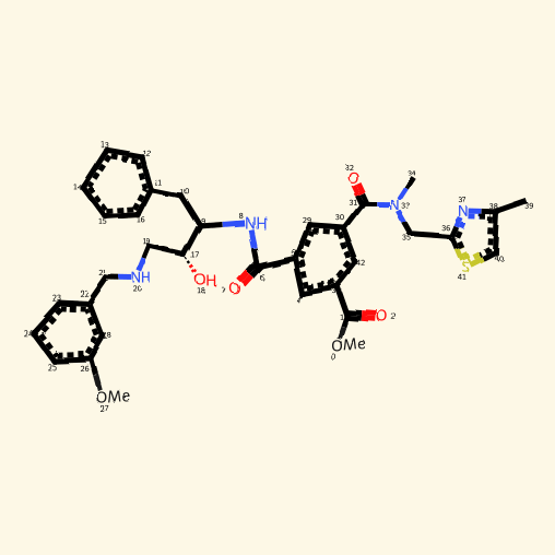 COC(=O)c1cc(C(=O)NC(Cc2ccccc2)[C@H](O)CNCc2cccc(OC)c2)cc(C(=O)N(C)Cc2nc(C)cs2)c1